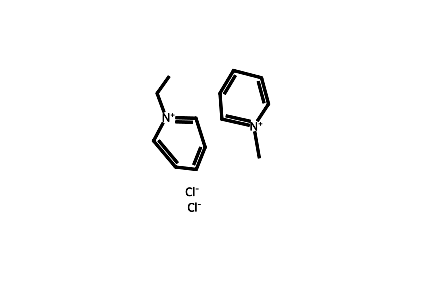 CC[n+]1ccccc1.C[n+]1ccccc1.[Cl-].[Cl-]